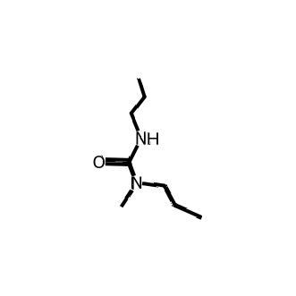 CCCNC(=O)N(C)CCC